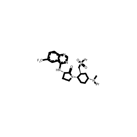 CC(C)N(C)[C@@H]1CC[C@H](N2CC[C@H](Nc3ncnc4ccc(C(F)(F)F)cc34)C2=O)[C@@H](CS(=O)(=O)C(C)C)C1